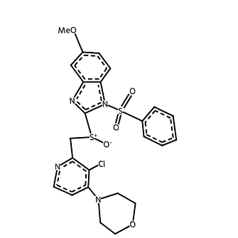 COc1ccc2c(c1)nc([S+]([O-])Cc1nccc(N3CCOCC3)c1Cl)n2S(=O)(=O)c1ccccc1